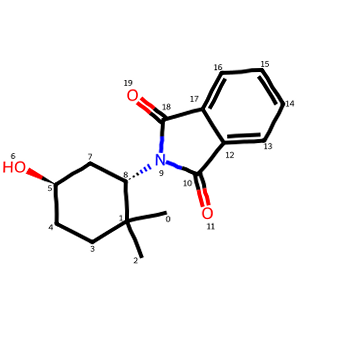 CC1(C)CC[C@@H](O)C[C@@H]1N1C(=O)c2ccccc2C1=O